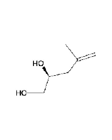 C=C(C)C[C@H](O)CO